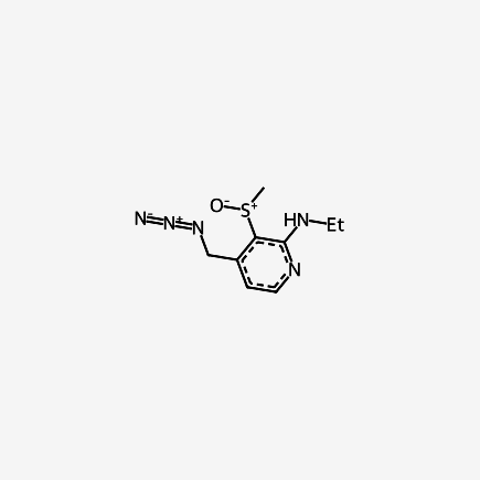 CCNc1nccc(CN=[N+]=[N-])c1[S+](C)[O-]